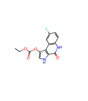 CCOC(=O)Oc1c[nH]c2c(=O)[nH]c3ccc(F)cc3c12